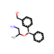 CC(CN)OB(c1ccccc1)c1cccc(CO)c1